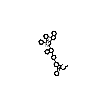 C=C/C=C\c1c(C)c2cc(-c3ccc(-c4ccc(-c5cc(-c6ccc7ccccc7c6-c6ccccc6)nc(-c6ccccc6)n5)c5ccccc45)cc3)ccc2n1-c1ccccc1